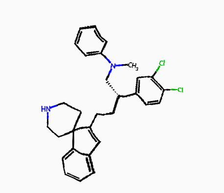 CN(C[C@@H](CCC1=Cc2ccccc2C12CCNCC2)c1ccc(Cl)c(Cl)c1)c1ccccc1